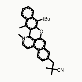 Cc1c2c(c(C(C)(C)C)c3ccccc13)Oc1cc3cc(CC(C)(C)C#N)ccc3c3cc[n+](C)c-2c13